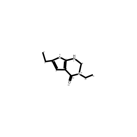 CCc1cc2c(s1)NCN(CC)C2=O